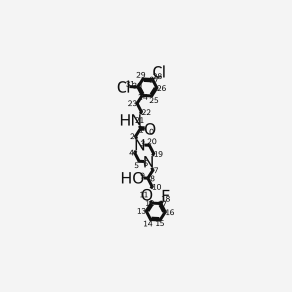 O=C(CN1CCN(CC(O)COc2ccccc2F)CC1)NCCc1ccc(Cl)cc1Cl